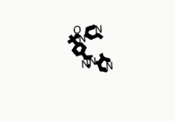 Cc1cc(N2C(=O)C(C)(C)c3ccc(-c4cn(-c5ccncc5C)cn4)cc32)ccn1